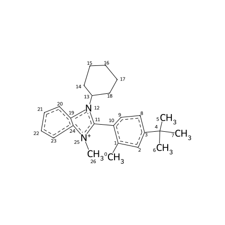 Cc1cc(C(C)(C)C)ccc1-c1n(C2CCCCC2)c2ccccc2[n+]1C